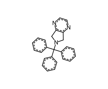 c1ccc(C(c2ccccc2)(c2ccccc2)N2Cc3nccnc3C2)cc1